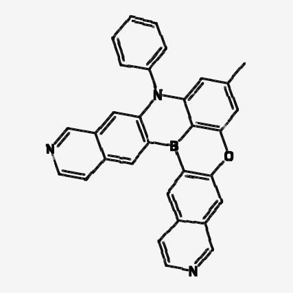 Cc1cc2c3c(c1)N(c1ccccc1)c1cc4cnccc4cc1B3c1cc3ccncc3cc1O2